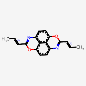 C/C=C/C1=Nc2ccc3c4c(ccc(c24)O1)N=C(/C=C/C)O3